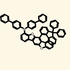 c1ccc(-c2ccc(N(c3ccc(-c4ccccc4)cc3)c3cccc4c3oc3c(-c5cccc6c5-c5ccccc5C6(c5ccccc5)c5ccccc5)c5c(cc34)oc3ccccc35)cc2)cc1